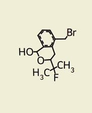 CC(C)(F)C1Cc2c(CBr)cccc2C(O)O1